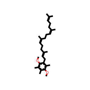 COc1c(C)c(C)c(OC)c(C/C=C(\C)CCC=C(C)CCC=C(C)CCC=C(C)C)c1C